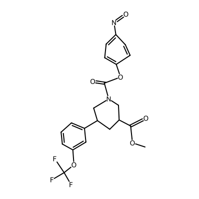 COC(=O)C1CC(c2cccc(OC(F)(F)F)c2)CN(C(=O)Oc2ccc(N=O)cc2)C1